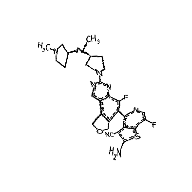 CN1CC[C@H](N(C)[C@H]2CCN(c3ncc4c5c(c(-c6ncc(F)c7sc(N)c(C#N)c67)c(F)c4n3)COC5)C2)C1